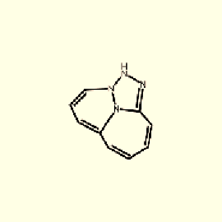 c1ccc2n[nH]n3cccc(c1)N23